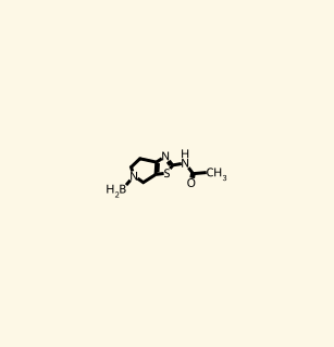 BN1CCc2nc(NC(C)=O)sc2C1